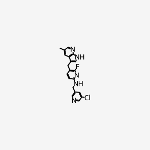 Cc1cnc2[nH]cc(Cc3ccc(NCc4cncc(Cl)c4)nc3F)c2c1